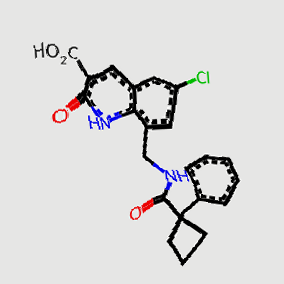 O=C(O)c1cc2cc(Cl)cc(CNC(=O)C3(c4ccccc4)CCC3)c2[nH]c1=O